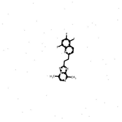 Cc1ncc(C)n2nc(CCc3ccc4c(F)c(F)cc(F)c4n3)nc12